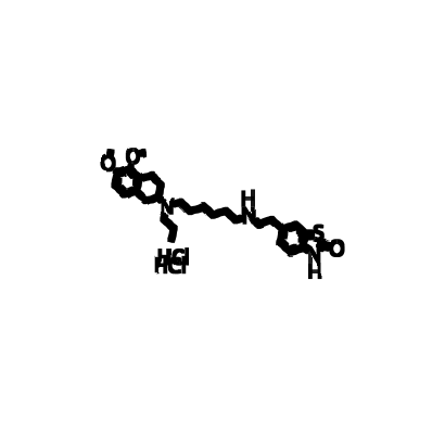 CCCN(CCCCCCNCCc1ccc2[nH]c(=O)sc2c1)C1CCc2c(ccc(OC)c2OC)C1.Cl.Cl